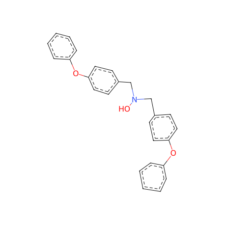 ON(Cc1ccc(Oc2ccccc2)cc1)Cc1ccc(Oc2ccccc2)cc1